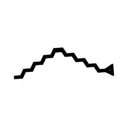 CCCCCCCC/C=C\CCCCCCC[C]1CC1